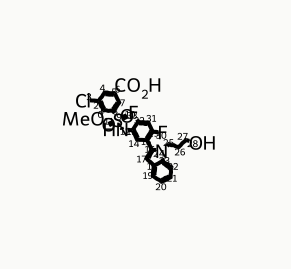 COc1c(Cl)cc(C(=O)O)cc1S(=O)(=O)Nc1cc(-c2cc3ccccc3n2CCCO)c(F)cc1F